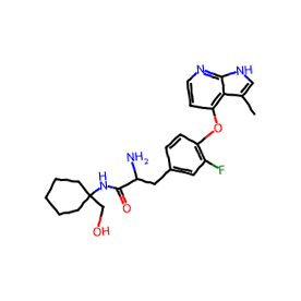 Cc1c[nH]c2nccc(Oc3ccc(CC(N)C(=O)NC4(CO)CCCCC4)cc3F)c12